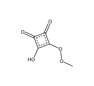 COOc1c(O)c(=O)c1=O